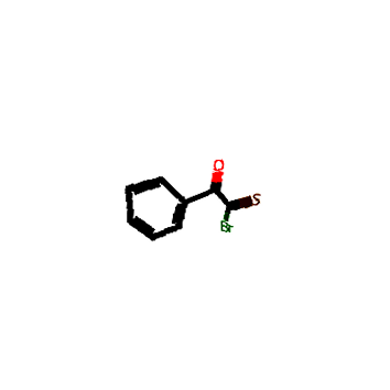 O=C(C(=S)Br)c1ccccc1